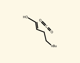 CCCCCCC=CO.O=C=O